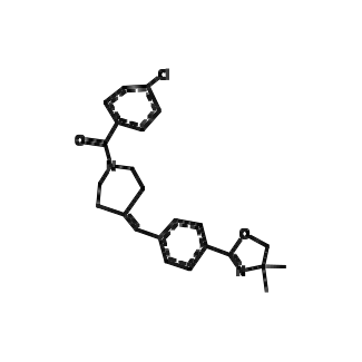 CC1(C)COC(c2ccc(C=C3CCN(C(=O)c4ccc(Cl)cc4)CC3)cc2)=N1